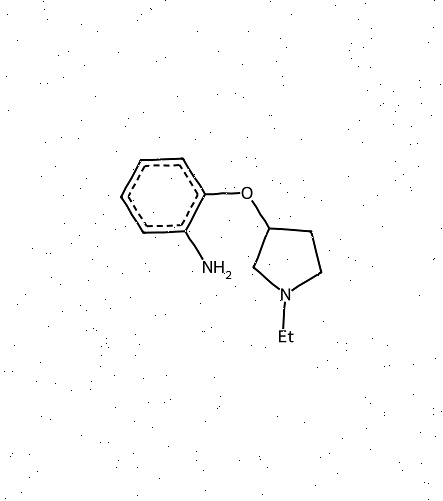 CCN1CCC(Oc2ccccc2N)C1